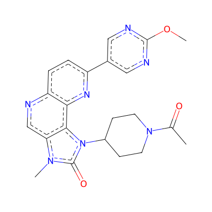 COc1ncc(-c2ccc3ncc4c(c3n2)n(C2CCN(C(C)=O)CC2)c(=O)n4C)cn1